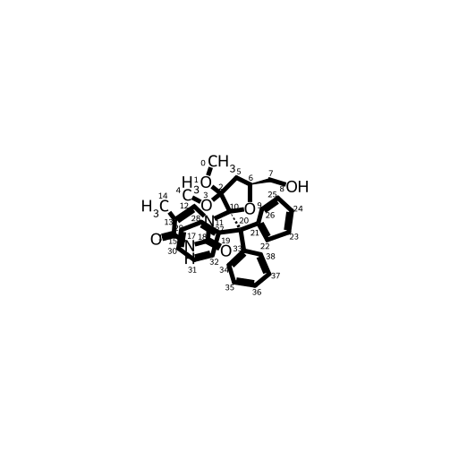 COC1(OC)C[C@@H](CO)O[C@]1(n1cc(C)c(=O)[nH]c1=O)C(c1ccccc1)(c1ccccc1)c1ccccc1